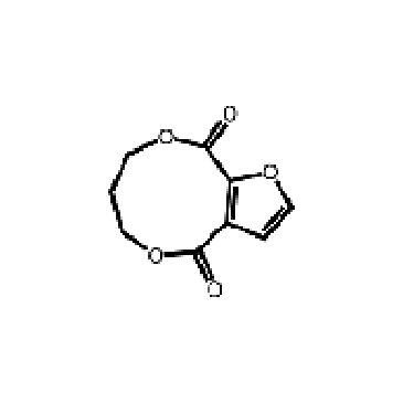 O=C1OCCCOC(=O)c2occc21